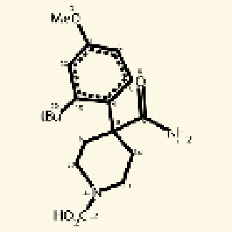 COc1ccc(C2(C(N)=O)CCN(C(=O)O)CC2)c(C(C)(C)C)c1